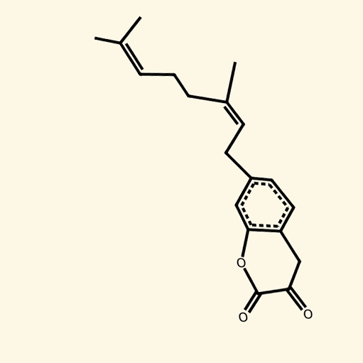 CC(C)=CCCC(C)=CCc1ccc2c(c1)OC(=O)C(=O)C2